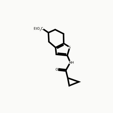 CCOC(=O)C1CCc2sc(NC(=O)C3CC3)cc2C1